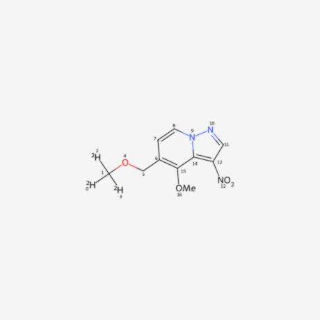 [2H]C([2H])([2H])OCc1ccn2ncc([N+](=O)[O-])c2c1OC